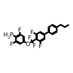 CCCc1ccc(-c2cc(F)c(C(F)(F)Oc3cc(F)c(P)c(F)c3)c(F)c2)cc1